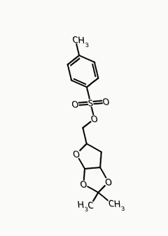 Cc1ccc(S(=O)(=O)OCC2CC3OC(C)(C)OC3O2)cc1